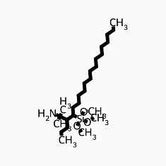 CCCCCCCCCCCCCCCC(C(CCC)C(C)(C)N)[Si](OC)(OC)OC